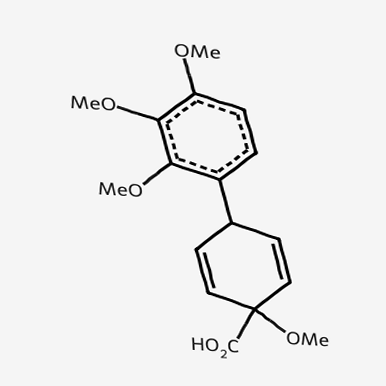 COc1ccc(C2C=CC(OC)(C(=O)O)C=C2)c(OC)c1OC